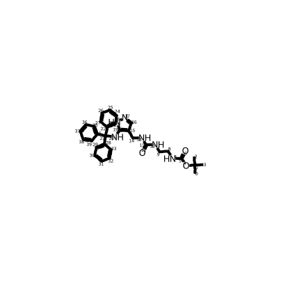 CC(C)(C)OC(=O)NCCNC(=O)NCc1cn[nH]c1NC(c1ccccc1)(c1ccccc1)c1ccccc1